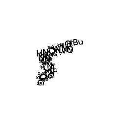 CC(C)(C)OC(=O)N1CCN(c2ccc(Nc3ncc4c(n3)N3CCN=C3C(c3ccc(Cl)cc3Cl)=C4)c(F)c2)CC1